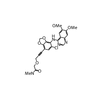 CNC(=O)COCC#Cc1cc(Cl)c(Nc2ncnc3cc(OC)c(OC)cc23)c2c1OCO2